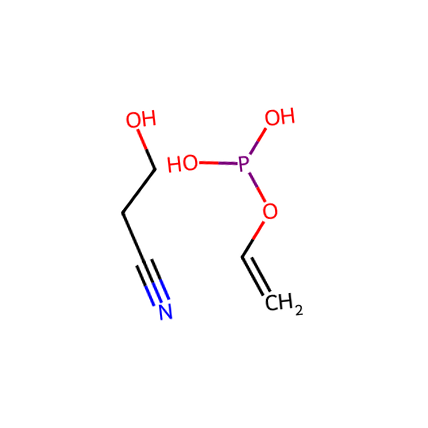 C=COP(O)O.N#CCCO